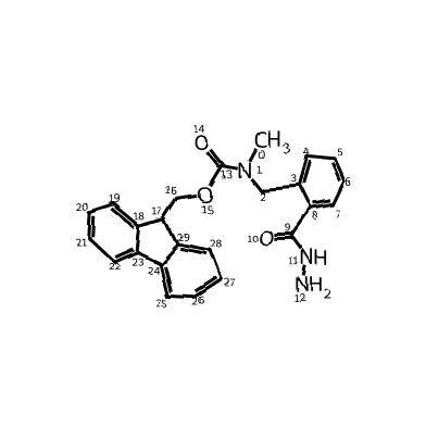 CN(Cc1ccccc1C(=O)NN)C(=O)OCC1c2ccccc2-c2ccccc21